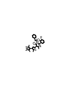 Cc1nn(C)c(C)c1-c1cc(-c2c(C)nc(-c3cccc(F)c3O)n(CCc3ccccc3)c2=O)sc1C